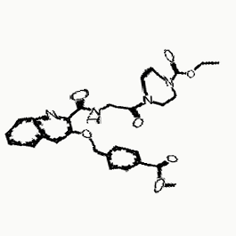 CCOC(=O)N1CCN(C(=O)CNC(=O)c2nc3ccccc3cc2OCc2ccc(C(=O)OC)cc2)CC1